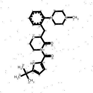 CN1CCN(c2ccccc2CC2OCCN(C(=O)C3=CC=C(C(C)(C)C)[SH]3)C2=O)CC1